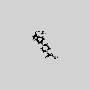 CCOC(=O)c1coc2cc(N3CCN(C(=O)OC(C)(C)C)CC3)ccc12